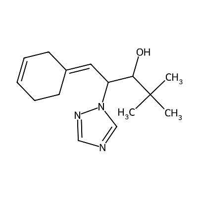 CC(C)(C)C(O)C(C=C1CC=CCC1)n1cncn1